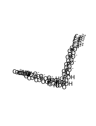 O=P(O)(O)O.O=P(O)(O)O.O=P(O)(O)O.O=P([O-])([O-])[O-].O=P([O-])([O-])[O-].O=P([O-])([O-])[O-].O=P([O-])([O-])[O-].O=P([O-])([O-])[O-].O=P([O-])([O-])[O-].O=P([O-])([O-])[O-].O=P([O-])([O-])[O-].[Ca+2].[Ca+2].[Ca+2].[Ca+2].[Ca+2].[Ca+2].[Ca+2].[Ca+2].[Ca+2].[Ca+2].[Ca+2].[Ca+2]